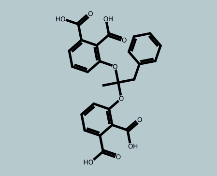 CC(Cc1ccccc1)(Oc1cccc(C(=O)O)c1C(=O)O)Oc1cccc(C(=O)O)c1C(=O)O